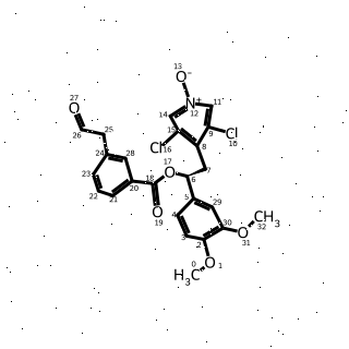 COc1ccc([C@H](Cc2c(Cl)c[n+]([O-])cc2Cl)OC(=O)c2cccc(CC=O)c2)cc1OC